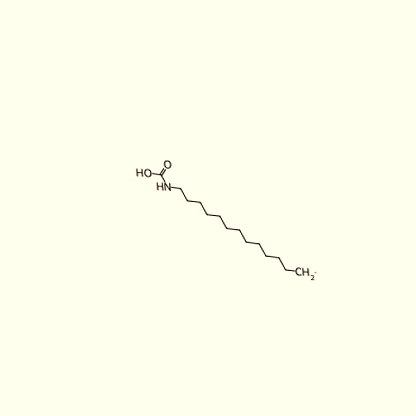 [CH2]CCCCCCCCCCCCNC(=O)O